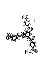 CC(=O)C1CCC(C(=O)Oc2ccc(OC(=O)C3CCC(C(C)=O)CC3)c3sc(-c4cc5cc([N+](=O)[O-])ccc5o4)nc23)CC1